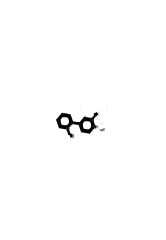 COc1ccc(-c2ccccc2C(=O)O)cc1C(C)(C)C